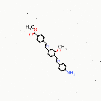 COC(=O)c1ccc(/C=C/c2ccc(/C=C/c3ccc(N)cc3)c(OC)c2)cc1